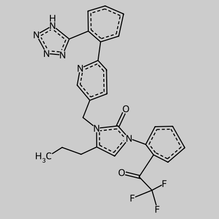 CCCc1cn(-c2ccccc2C(=O)C(F)(F)F)c(=O)n1Cc1ccc(-c2ccccc2-c2nnn[nH]2)nc1